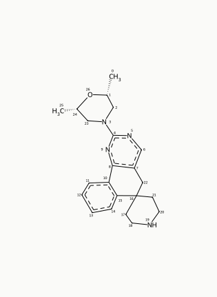 C[C@@H]1CN(c2ncc3c(n2)-c2ccccc2C2(CCNCC2)C3)C[C@H](C)O1